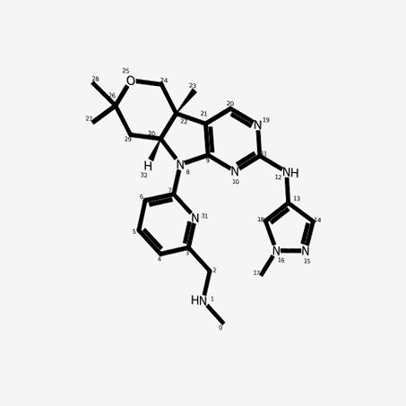 CNCc1cccc(N2c3nc(Nc4cnn(C)c4)ncc3[C@@]3(C)COC(C)(C)C[C@@H]23)n1